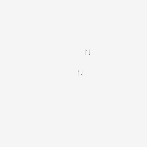 c1ccc(-c2c3ccccc3n3c2cnc2ccccc23)cc1